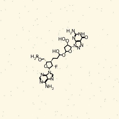 Nc1nc2c(nnn2[C@@H]2OC(OC(O)CC[C@H]3[C@H](F)[C@H](n4cnc5c(N)ncnc54)O[C@@H]3COP)C[C@H]2OO)c(=O)[nH]1